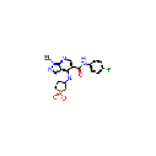 CCn1ncc2c(NC3CCS(=O)(=O)C3)c(C(=O)Nc3ccc(F)cc3)cnc21